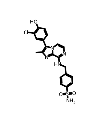 Cc1nc2c(NCc3ccc(S(N)(=O)=O)cc3)nccn2c1-c1ccc(O)c(Cl)c1